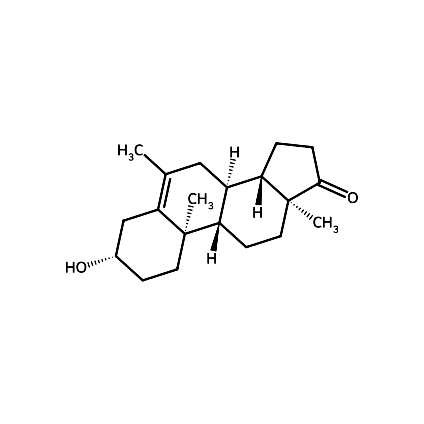 CC1=C2C[C@@H](O)CC[C@]2(C)[C@H]2CC[C@]3(C)C(=O)CC[C@H]3[C@@H]2C1